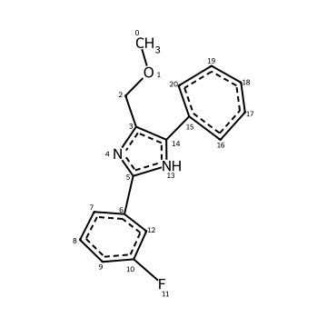 COCc1nc(-c2cccc(F)c2)[nH]c1-c1ccccc1